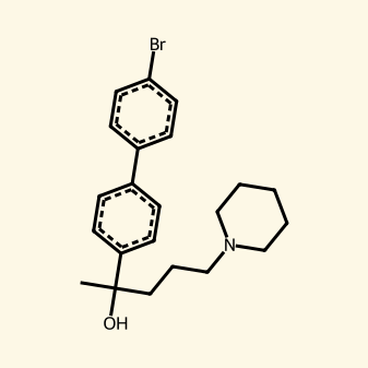 CC(O)(CCCN1CCCCC1)c1ccc(-c2ccc(Br)cc2)cc1